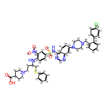 O=C(O)C1CCN(CCC(CSc2ccccc2)Nc2ccc(S(=O)(=O)Nc3ncnc4cc(N5CCN(Cc6ccccc6-c6ccc(Cl)cc6)CC5)ccc34)cc2[N+](=O)[O-])CC1